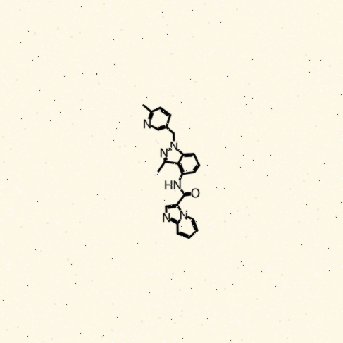 Cc1ccc(Cn2nc(C)c3c(NC(=O)c4cnc5ccccn45)cccc32)cn1